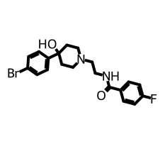 O=C(NCCN1CCC(O)(c2ccc(Br)cc2)CC1)c1ccc(F)cc1